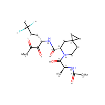 CNC(=O)C(=O)[C@H](CCC(C)(F)F)NC(=O)[C@@H]1CC2(CCN1C(=O)[C@@H](NC(=O)OC)C(C)(C)C)CC2